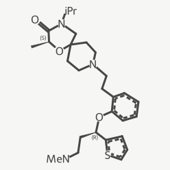 CNCC[C@@H](Oc1ccccc1CCN1CCC2(CC1)CN(C(C)C)C(=O)[C@H](C)O2)c1cccs1